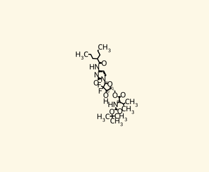 CCCC(CCC)C(=O)Nc1ccn([C@@H]2O[C@H](COC(=O)[C@H](NC(=O)OC(C)(C)C)C(C)C)[C@@H](O)C2(F)F)c(=O)n1